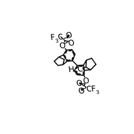 CC1C2CCC1c1c(-c3ccc(OS(=O)(=O)C(F)(F)F)c4c3C3CCC4C3)ccc(OS(=O)(=O)C(F)(F)F)c12